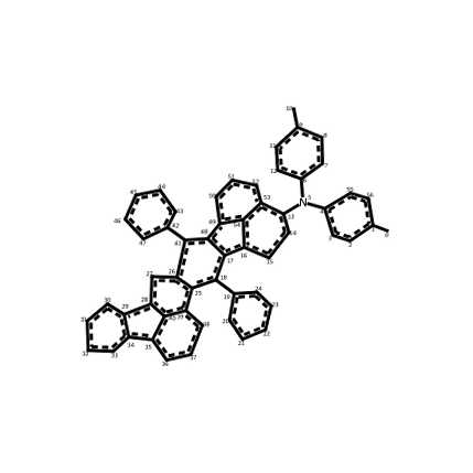 Cc1ccc(N(c2ccc(C)cc2)c2ccc3c4c(-c5ccccc5)c5c(cc6c7ccccc7c7cccc5c76)c(-c5ccccc5)c4c4cccc2c43)cc1